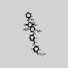 CCCCN1C(=O)[C@@H](CC2(O)CCCCC2)NC(=O)C12CCN(Cc1cccc(COc3ccc(C(=O)O)cc3)c1)CC2.Cl